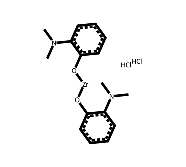 CN(C)c1ccccc1[O][Zr][O]c1ccccc1N(C)C.Cl.Cl